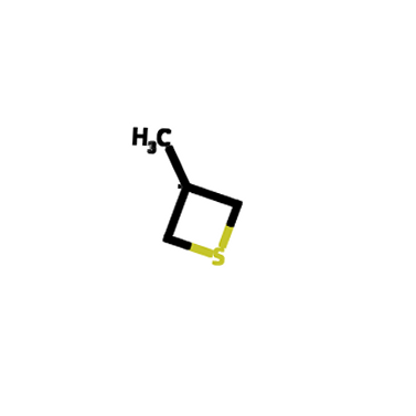 C[C]1CSC1